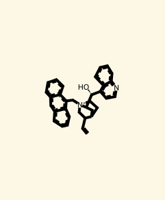 C=CC1C[N+]2(Cc3c4ccccc4cc4ccccc34)CCC1CC2[C@H](O)c1ccnc2ccccc12